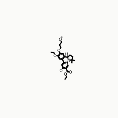 CCOC(=O)c1cn2c(cc1=O)-c1cc(OCC)c(OCCCOC)cc1[C@H]1CCC(C)(C)N12